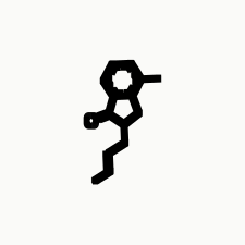 CC=CCC1Cc2c(C)cccc2C1=O